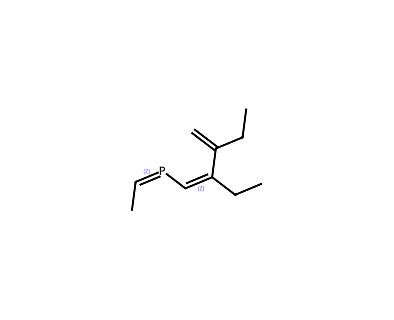 C=C(CC)/C(=C\P=C/C)CC